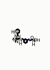 Cn1cnc2c(NCc3cccc(/C=C/C(=O)NO)c3)nc(C3CCCCN3)nc21